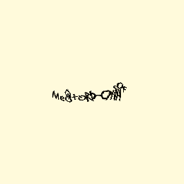 COC(=O)C(C)(C)COc1ncc(-c2ccc(Nc3nc4c(F)cccc4s3)cc2)cn1